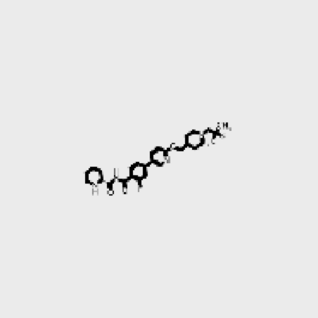 CC(C)(F)CN1CCC(COc2ccc(-c3ccc(C(=O)NC(=O)[C@H]4CCCCN4)c(F)c3)cn2)CC1